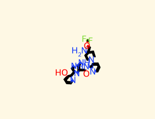 Nc1ncc(-c2ncccc2O)nc1C(=O)Nc1ncccc1N1CCC(N)(COC(F)F)CC1